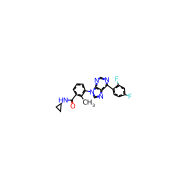 Cc1c(C(=O)NC2CC2)cccc1-n1cnc2c(-c3ccc(F)cc3F)ncnc21